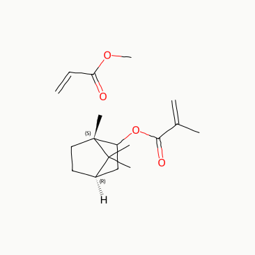 C=C(C)C(=O)OC1C[C@H]2CC[C@@]1(C)C2(C)C.C=CC(=O)OC